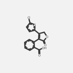 O=C1OCC(c2ccc(Cl)s2)=C1c1ccccc1C(=O)O